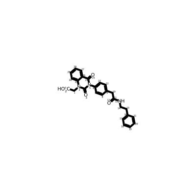 O=C(O)Cn1c(=O)n(-c2ccc(CC(=O)NCCc3ccccc3)cc2)c(=O)c2ccccc21